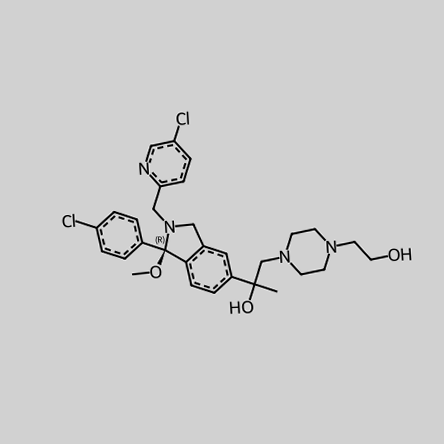 CO[C@]1(c2ccc(Cl)cc2)c2ccc(C(C)(O)CN3CCN(CCO)CC3)cc2CN1Cc1ccc(Cl)cn1